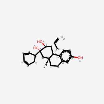 C=CC[C@@]12C[C@H](O)[C@](O)(C3C=CC=CC3)C[C@H]1CCc1cc(O)ccc12